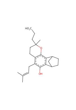 CC(C)=CCc1c(O)c2c(c3c1CCC(C)(CCC(=O)O)O3)C1CCC2C1